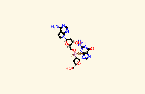 Nc1nc2c(ncn2[C@@H]2O[C@H](CO)C[C@H]2P(=S)(S)OC[C@H]2O[C@@H](n3ccc4c(N)ncnc43)C[C@@H]2O)c(=O)[nH]1